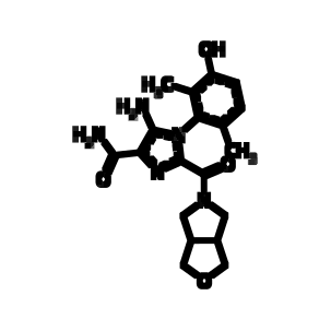 Cc1ccc(O)c(C)c1-n1c(C(=O)N2CC3COCC3C2)nc(C(N)=O)c1N